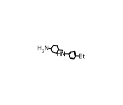 CCc1ccc(NCC2CCC(N)CC2)cc1